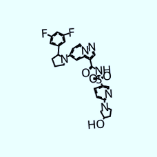 O=C(NS(=O)(=O)c1ccc(N2CCC(O)C2)nc1)c1cnn2ccc(N3CCCC3c3cc(F)cc(F)c3)cc12